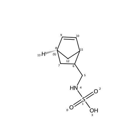 O=S(=O)(O)NCC1C[C@H]2C=CC1C2